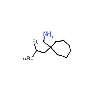 CCCCC(CC)CC1(CN)CCCCC1